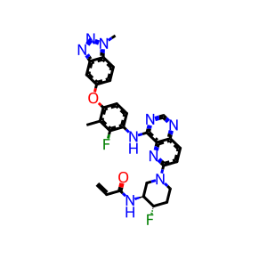 C=CC(=O)N[C@H]1CN(c2ccc3ncnc(Nc4ccc(Oc5ccc6c(c5)nnn6C)c(C)c4F)c3n2)CC[C@@H]1F